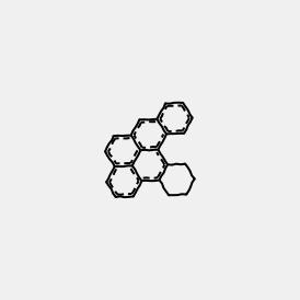 c1ccc2c(c1)cc1ccc3cccc4c5c(c2c1c34)CCCC5